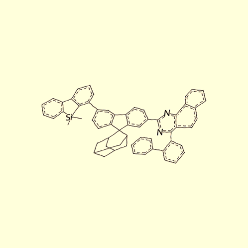 C[Si]1(C)c2ccccc2-c2cccc(-c3ccc4c(c3)-c3ccc(-c5nc(-c6ccccc6-c6ccccc6)c6ccc7ccccc7c6n5)cc3C43C4CC5CC(C4)CC3C5)c21